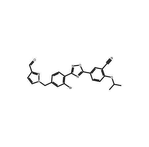 CC(C)Oc1ccc(-c2nc(-c3ccc(Cn4ccc(C=O)n4)cc3Br)no2)cc1C#N